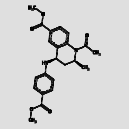 COC(=O)c1ccc(N[C@@H]2C[C@H](C)N(C(C)=O)c3ccc(C(=O)OC)cc32)cc1